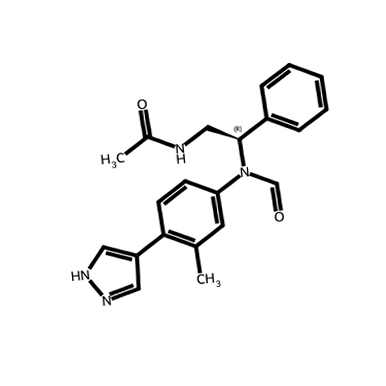 CC(=O)NC[C@@H](c1ccccc1)N(C=O)c1ccc(-c2cn[nH]c2)c(C)c1